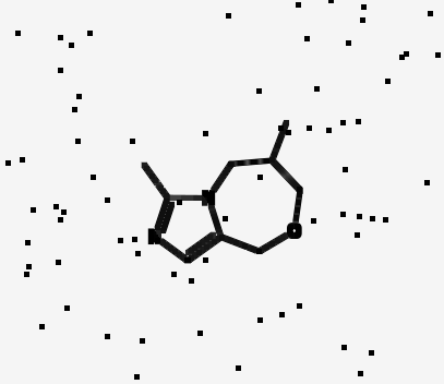 Cc1ncc2n1CC(C)COC2